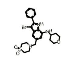 O=S1(=O)CCN(Cc2cc(NC3CCOCC3)c3[nH]c(-c4ccccc4)c(Br)c3c2)CC1